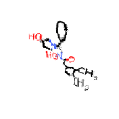 Cc1ccc(CC(=O)N(O)C[C@@H](c2ccccc2)N2CC[C@H](O)C2)cc1C